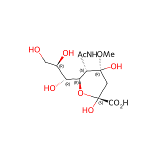 CO[C@]1(O)C[C@@](O)(C(=O)O)O[C@@H]([C@H](O)[C@H](O)CO)[C@@H]1NC(C)=O